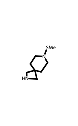 CSN1CCC2(CC1)CNC2